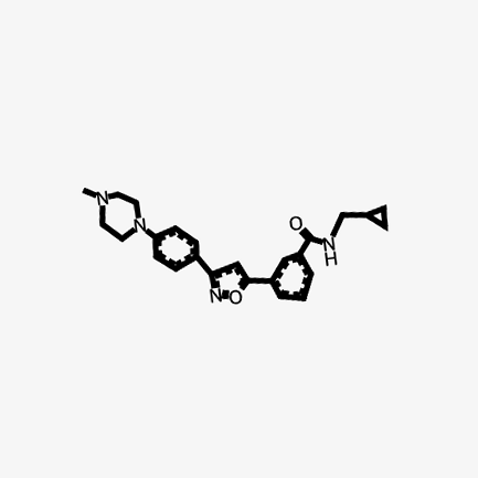 CN1CCN(c2ccc(-c3cc(-c4cccc(C(=O)NCC5CC5)c4)on3)cc2)CC1